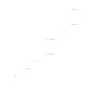 CC(C)(C)OC(=O)NCc1ccc(CCC2CCCCC2)nc1